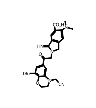 CN(C)c1cc2c(cc1C(=O)O)C(=N)N(CC(=O)c1cc3c(c(C(C)(C)C)c1)OCCN3CC#N)C2